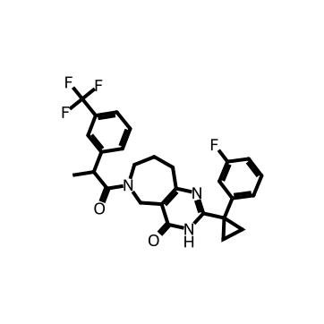 CC(C(=O)N1CCCc2nc(C3(c4cccc(F)c4)CC3)[nH]c(=O)c2C1)c1cccc(C(F)(F)F)c1